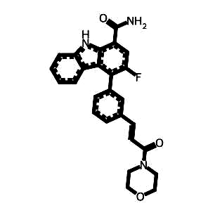 NC(=O)c1cc(F)c(-c2cccc(C=CC(=O)N3CCOCC3)c2)c2c1[nH]c1ccccc12